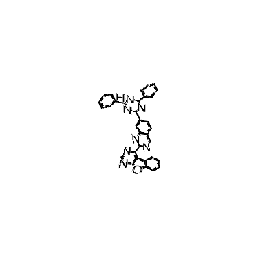 c1ccc(C2=NC(c3ccc4cnc(-c5ncnc6oc7ccccc7c56)nc4c3)=NC(c3ccccc3)N2)cc1